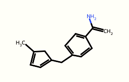 C=C(N)c1ccc(CC2=CC=C(C)C2)cc1